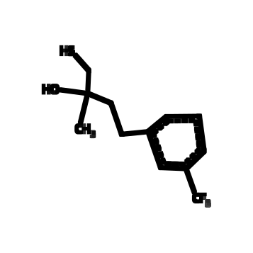 CC(O)(CS)CCc1cccc(C(F)(F)F)c1